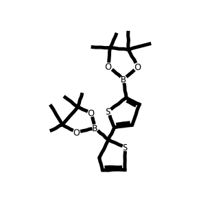 CC1(C)OB(c2ccc(C3(B4OC(C)(C)C(C)(C)O4)CC=CS3)s2)OC1(C)C